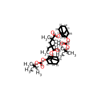 CCC(C)(CC(C)(C)C(=O)OC12CC3CC(CC(OC(=O)OC(C)(C)C)(C3)C1)C2)C(=O)OC12CC3CC(CC(OC(=O)OC(C)(C)C)(C3)C1)C2